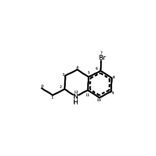 CCC1CCc2c(Br)cccc2N1